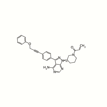 C=CC(=O)N1CCC[C@@H](n2nc(-c3ccc(C#CCOc4ccccc4)cc3)c3c(N)ncnc32)C1